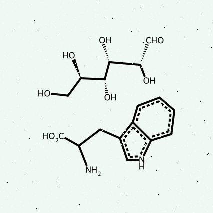 NC(Cc1c[nH]c2ccccc12)C(=O)O.O=C[C@H](O)[C@@H](O)[C@H](O)[C@H](O)CO